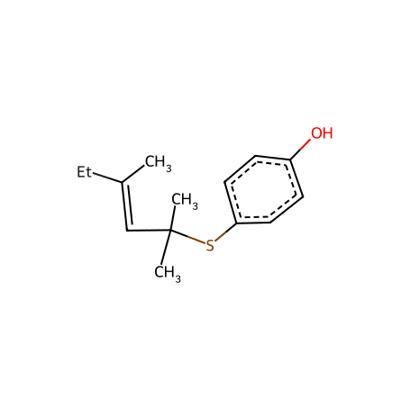 CCC(C)=CC(C)(C)Sc1ccc(O)cc1